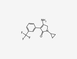 NC1=C(c2cccc(C(F)(F)F)c2)C(=O)N(C2CC2)C1